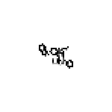 CCCn1nc(C(=O)N(C)Cc2ccccc2)c2c1CCC(N1CCc3ccccc31)C2